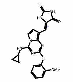 COc1ccccc1Oc1nc(NC2CC2)n2ncc(/C=C3\NC(=O)NC3=O)c2n1